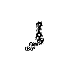 Cc1cc(OCc2ccccn2)ccc1C1CN(CCC(=O)OC(C)(C)C)CCO1